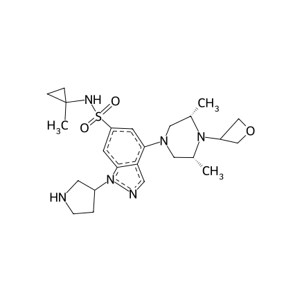 C[C@@H]1CN(c2cc(S(=O)(=O)NC3(C)CC3)cc3c2cnn3C2CCNC2)C[C@H](C)N1C1COC1